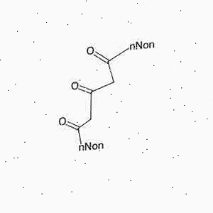 CCCCCCCCCC(=O)CC(=O)CC(=O)CCCCCCCCC